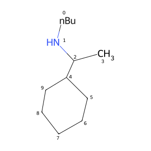 [CH2-][CH+]CCNC(C)C1CCCCC1